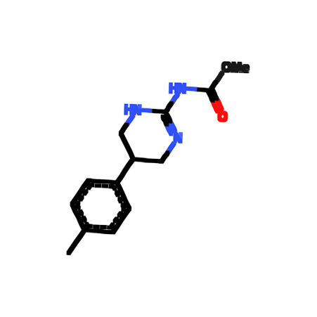 COC(=O)NC1=NCC(c2ccc(C)cc2)CN1